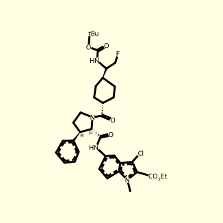 CCOC(=O)c1c(Cl)c2cc(NC(=O)[C@@H]3[C@@H](c4ccccc4)CCN3C(=O)[C@H]3CC[C@H](C(CF)NC(=O)OC(C)(C)C)CC3)ccc2n1C